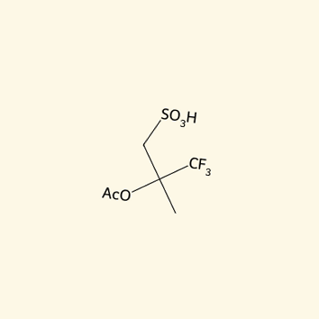 CC(=O)OC(C)(CS(=O)(=O)O)C(F)(F)F